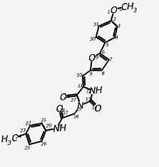 COc1ccc(-c2ccc(/C=C3\NC(=O)N(CC(=O)Nc4ccc(C)cc4)C3=O)o2)cc1